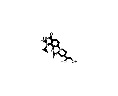 O=c1[nH]c(=O)n(C2CC2)c2c(OC(F)F)c(N3CCC(C(O)CO)CC3)ccc12